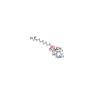 C=CCCCCCCCC(=O)OC(C)(C)C1CCNCC1